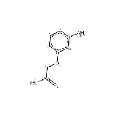 CCCCC(=O)COc1cccc(N)c1